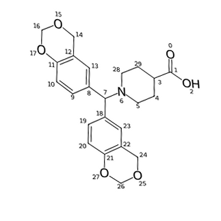 O=C(O)C1CCN(C(c2ccc3c(c2)COCO3)c2ccc3c(c2)COCO3)CC1